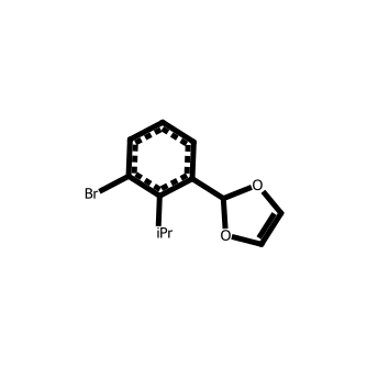 CC(C)c1c(Br)cccc1C1OC=CO1